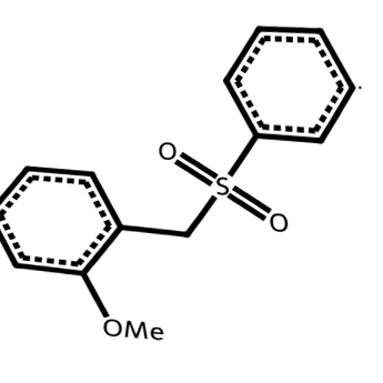 COc1ccccc1CS(=O)(=O)c1c[c]ccc1